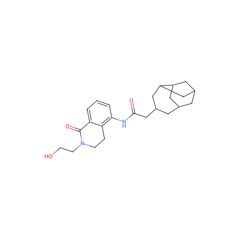 O=C(CC1CC2CC3CC(C1)C(C2)C3)Nc1cccc2c1CCN(CCO)C2=O